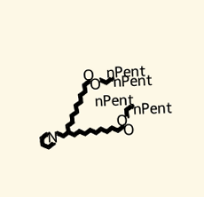 CCCCCC(CCCCC)CCOC(=O)CCCCCCCCCC(CCCCCCCCCC(=O)OCCC(CCCCC)CCCCC)CCN1CCCCC1